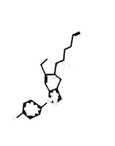 C=CCC[C@H](O)[C@H]1CCC2=Cc3c(cnn3-c3ccc(F)cc3)C[C@@]21C